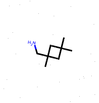 CC1(C)CC(C)(CN)C1